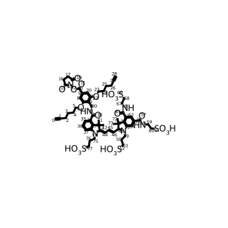 C#CCCCCOc1cc(C(=O)ON2C(=O)CCC2=O)cc(OCCCCC#C)c1CNC(=O)c1cccc2c1C(C)(C)/C(=C\C=C\C1N(CCCS(=O)(=O)O)c3cc(C(=O)NCCS(=O)(=O)O)cc(C(=O)NCCS(=O)(=O)O)c3C1(C)C)N2CCCS(=O)(=O)O